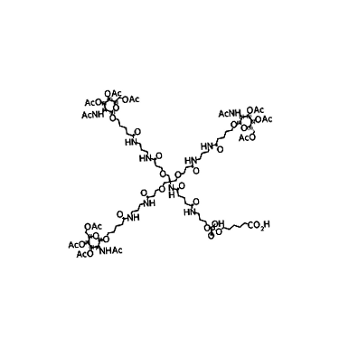 CC(=O)N[C@@H]1[C@@H](OCCCCC(=O)NCCCNC(=O)CCOCC(COCCC(=O)NCCCNC(=O)CCCCO[C@@H]2O[C@H](COC(C)=O)[C@H](OC(C)=O)[C@H](OC(C)=O)[C@H]2NC(C)=O)(COCCC(=O)NCCCNC(=O)CCCCO[C@@H]2O[C@H](COC(C)=O)[C@H](OC(C)=O)[C@H](OC(C)=O)[C@H]2NC(C)=O)NC(=O)CCCC(=O)NCCCOP(=O)(O)OCCCCCC(=O)O)O[C@@H](COC(C)=O)[C@@H](OC(C)=O)[C@H]1OC(C)=O